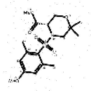 COC(=O)[C@@H]1COC(C)(C)CN1S(=O)(=O)c1c(C)cc(OC)cc1C